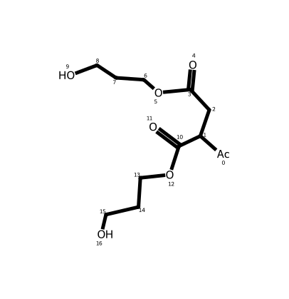 CC(=O)C(CC(=O)OCCCO)C(=O)OCCCO